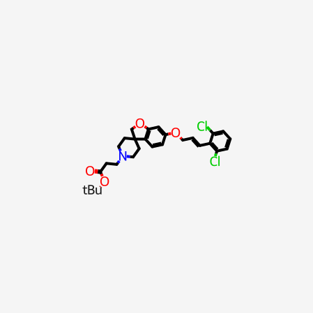 CC(C)(C)OC(=O)CCN1CCC2(CC1)COc1cc(OCC=Cc3c(Cl)cccc3Cl)ccc12